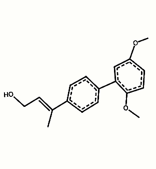 COc1ccc(OC)c(-c2ccc(/C(C)=C/CO)cc2)c1